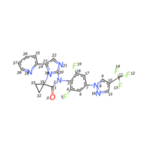 O=C1N(c2c(F)cc(-n3cc(C(F)(F)F)cn3)cc2F)c2ncc(-c3ccccn3)n2C12CC2